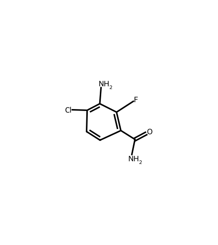 NC(=O)c1ccc(Cl)c(N)c1F